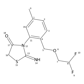 Cc1ccc(COCC(F)F)c(N2C(=N)SCC2=O)c1